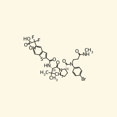 CNC(=O)CCN(C(=O)[C@@H]1CCCN1C(=O)[C@@H](NC(=O)c1cc2cc(C(F)(F)P(=O)(O)O)ccc2s1)C(C)(C)C)c1ccc(Br)cc1